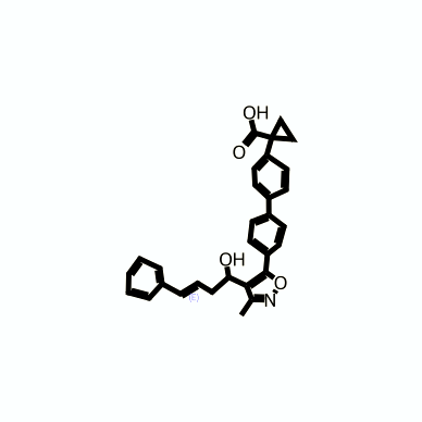 Cc1noc(-c2ccc(-c3ccc(C4(C(=O)O)CC4)cc3)cc2)c1C(O)C/C=C/c1ccccc1